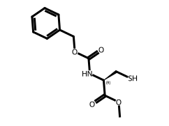 COC(=O)[C@H](CS)NC(=O)OCc1ccccc1